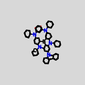 c1ccc(N(c2ccccc2)c2ccc3c(c2)B2c4cc(N(c5ccccc5)c5ccccc5)ccc4N(c4ccccc4)c4cc(-n5c6ccccc6c6ccccc65)cc(c42)N3c2ccccc2)cc1